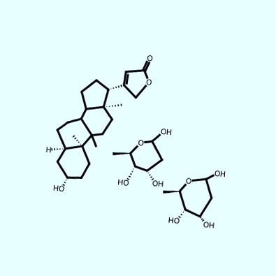 CC12CC[C@@]3(C)C(CC[C@@H]3C3=CC(=O)OC3)C1CC[C@@H]1C[C@@H](O)CC[C@@]12C.C[C@H]1OC(O)C[C@H](O)[C@@H]1O.C[C@H]1OC(O)C[C@H](O)[C@@H]1O